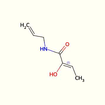 C=CCNC(=O)/C(O)=C/C